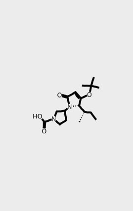 CC[C@H](C)[C@H]1C(OC(C)(C)C)=CC(=O)N1C1CCN(C(=O)O)C1